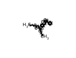 CCCCOC(=O)CN(CC(=O)OCCCC)c1ccc(C=C2C(=O)ON=C2c2ccccc2)cc1